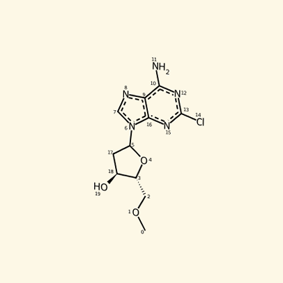 COC[C@H]1OC(n2cnc3c(N)nc(Cl)nc32)C[C@@H]1O